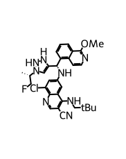 COc1nccc2c([C@H](Nc3cc(Cl)c4ncc(C#N)c(NCC(C)(C)C)c4c3)C3=CN([C@@H](C)CF)NN3)cccc12